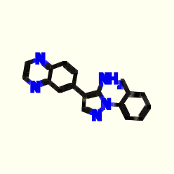 Cc1ccccc1-n1ncc(-c2ccc3nccnc3c2)c1N